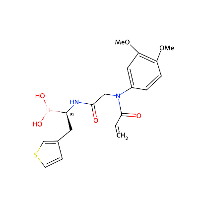 C=CC(=O)N(CC(=O)N[C@@H](Cc1ccsc1)B(O)O)c1ccc(OC)c(OC)c1